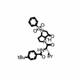 CC(C)C[C@H](NC(=O)c1ccc(C(C)(C)C)cc1)C(=O)N1CCC2[C@H]1C(=O)CN2S(=O)(=O)c1ccccc1